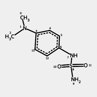 CN(C)c1ccc(NS(N)(=O)=O)cc1